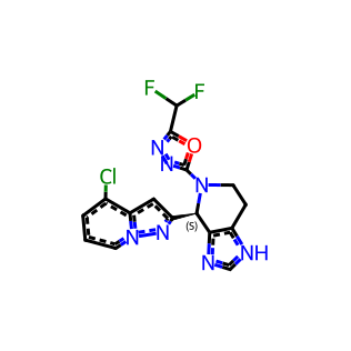 FC(F)c1nnc(N2CCc3[nH]cnc3[C@H]2c2cc3c(Cl)cccn3n2)o1